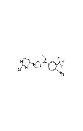 CCN(c1ccc(C#N)c(C(F)(F)F)c1)C1CCN(c2ccnc(Cl)n2)C1